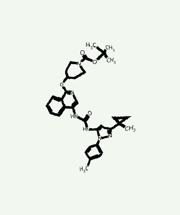 Cc1ccc(-n2nc(C3(C)CC3)cc2NC(=O)Nc2cnc(OC3CCN(C(=O)OC(C)(C)C)CC3)c3ccccc23)cc1